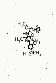 CCO[C@@H]1CN(c2nccs2)C[C@H]1Nc1c(CC)nc(-c2ccc(N(C)C)cc2Cl)n(C)c1=O